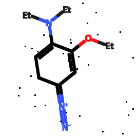 CCOC1=CC(=[N+]=[N-])CC=C1N(CC)CC